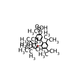 CC(C)c1cc(C(C)C)c(-c2ccccc2P2CCC(C(C)(C)C)C2C(C)(C)C)c(C(C)C)c1.CS(=O)(=O)O